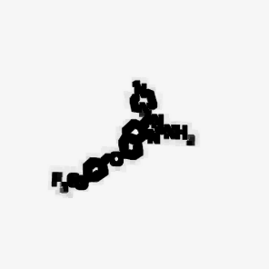 CN1CCN(c2nc(N)nc3c2CCc2cc(OCc4ccc(OC(F)(F)F)cc4)ccc2-3)CC1